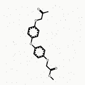 COC(=O)COc1ccc(Oc2ccc(OCC(C)=O)cc2)cc1